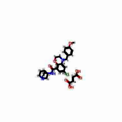 COc1ccc(CN2CCOc3c(C(=O)NC4CN5CCC4CC5)cc(Cl)cc32)cc1.O=C(O)C=CC(=O)O